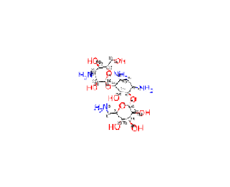 NCC1O[C@H](O[C@@H]2C(N)C[C@@H](N)C(O[C@@H]3OC(CO)[C@H](O)C(N)C3O)[C@H]2O)C(O)[C@@H](O)[C@@H]1O